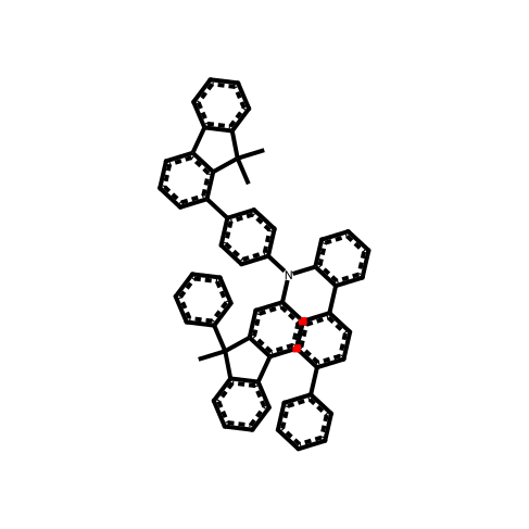 CC1(C)c2ccccc2-c2cccc(-c3ccc(N(c4ccc5c(c4)C(C)(c4ccccc4)c4ccccc4-5)c4ccccc4-c4ccc(-c5ccccc5)cc4)cc3)c21